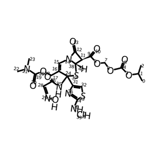 CC(C)OC(=O)OCOC(=O)[C@@H]1C(=O)N2C=C(COC(=O)N(C)C)C(NC(=O)/C=N\O)(c3csc(N)n3)S[C@@H]12.Cl